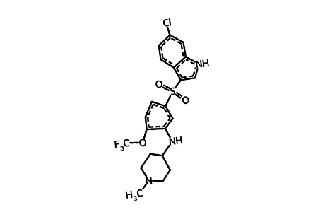 CN1CCC(Nc2cc(S(=O)(=O)c3c[nH]c4cc(Cl)ccc34)ccc2OC(F)(F)F)CC1